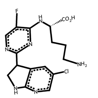 NCCC[C@H](Nc1nc(C2CNc3ncc(Cl)cc32)ncc1F)C(=O)O